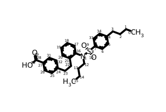 CCCCc1ccc(S(=O)(=O)N(CCCC)c2ccccc2CCc2ccc(C(=O)O)cc2)cc1